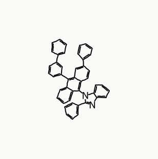 c1ccc(-c2cccc(-c3c4ccccc4c(-n4c(-c5ccccc5)nc5ccccc54)c4ccc(-c5ccccc5)cc34)c2)cc1